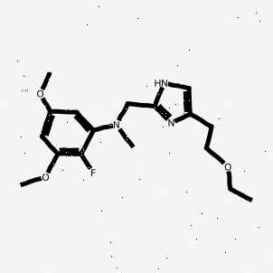 CCOCCc1c[nH]c(CN(C)c2cc(OC)cc(OC)c2F)n1